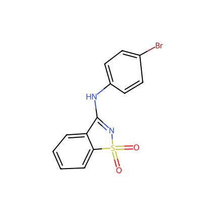 O=S1(=O)N=C(Nc2ccc(Br)cc2)c2ccccc21